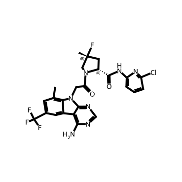 Cc1cc(C(F)(F)F)cc2c3c(N)ncnc3n(CC(=O)N3C[C@](C)(F)C[C@@H]3C(=O)Nc3cccc(Cl)n3)c12